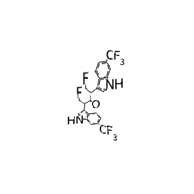 O=C(C(CF)c1c[nH]c2cc(C(F)(F)F)ccc12)C(CF)c1c[nH]c2cc(C(F)(F)F)ccc12